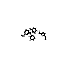 C=Cc1ccc(C=Nc2ccc3nc4ccc(N=C)cc4[n+](-c4ccccc4)c3c2)s1